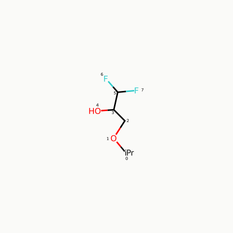 CC(C)OCC(O)C(F)F